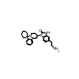 NCCc1ccc2c(c1)[nH]c(=O)n2C1CCN(C2(c3ccccc3)CCCCCC2)CC1